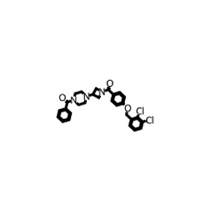 O=C(c1ccccc1)N1CCN(C2CN(C(=O)c3ccc(OCc4cccc(Cl)c4Cl)cc3)C2)CC1